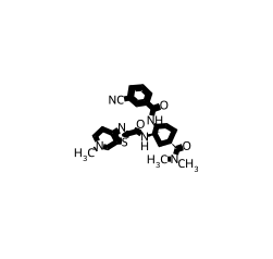 CN1CCc2nc(C(=O)N[C@@H]3C[C@@H](C(=O)N(C)C)CC[C@@H]3NC(=O)c3cccc(C#N)c3)sc2C1